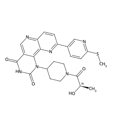 CSc1ccc(-c2ccc3ncc4c(=O)[nH]c(=O)n(C5CCN(C(=O)[C@@H](C)O)CC5)c4c3n2)cn1